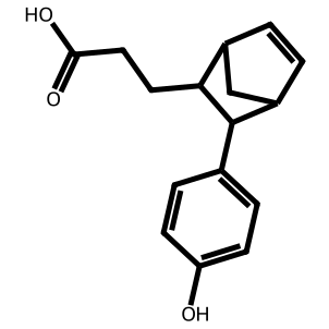 O=C(O)CCC1C2C=CC(C2)C1c1ccc(O)cc1